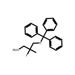 COCC(C)(F)COC(c1ccccc1)(c1ccccc1)c1ccccc1